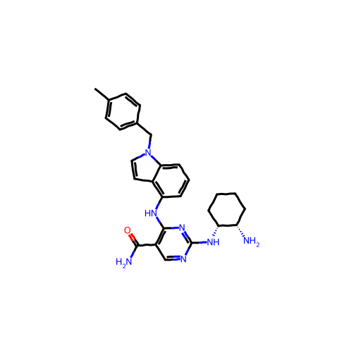 Cc1ccc(Cn2ccc3c(Nc4nc(N[C@@H]5CCCC[C@@H]5N)ncc4C(N)=O)cccc32)cc1